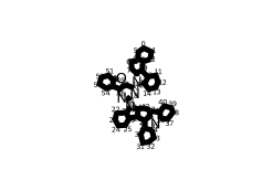 c1ccc2c(c1)ccc1c2c2ccccc2n1-c1nc(-n2c3ccccc3c3c4c5ccccc5n5c6ccccc6c(cc32)c45)nc2c1oc1ccccc12